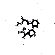 CCN(CC)C(=O)c1cccnc1.O=C(/C=C/c1ccccc1)OCCl